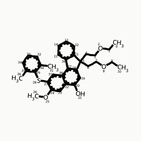 CCOCCC1(CCOCC)c2ccccc2-c2c1cc(O)c1cc(OC)c(Sc3c(C)cccc3C)cc21